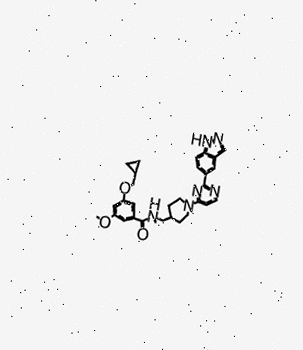 COc1cc(OCC2CC2)cc(C(=O)NCC2CCN(c3ccnc(-c4ccc5[nH]ncc5c4)n3)CC2)c1